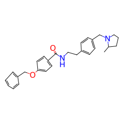 CC1CCCN1Cc1ccc(CCNC(=O)c2ccc(OCc3ccccc3)cc2)cc1